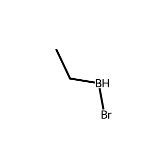 CCBBr